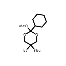 CCCCC1(CC)COC(OC)(C2CCCCC2)OC1